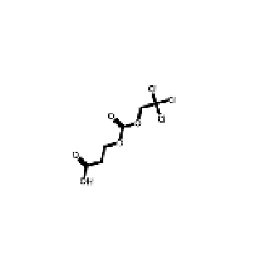 O=C(O)CCOC(=O)OCC(Cl)(Cl)Cl